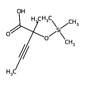 CC#CC(C)(O[Si](C)(C)C)C(=O)O